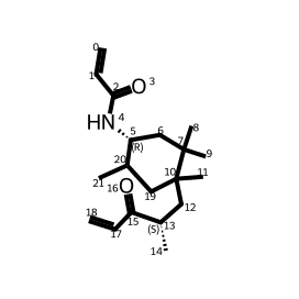 C=CC(=O)N[C@@H]1CC(C)(C)C(C)(C[C@H](C)C(=O)C=C)CC1C